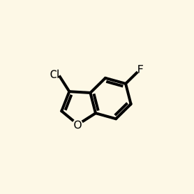 Fc1ccc2occ(Cl)c2c1